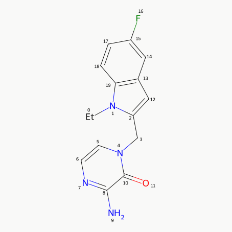 CCn1c(Cn2ccnc(N)c2=O)cc2cc(F)ccc21